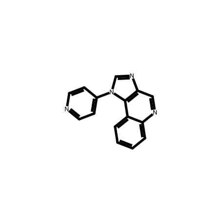 c1ccc2c(c1)ncc1ncn(-c3ccncc3)c12